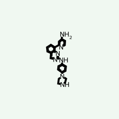 Nc1ccnc(-c2cccc3cnc(Nc4ccc(N5CCNCC5)cc4)nc23)c1